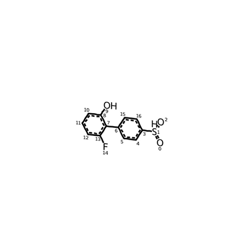 O=[SH](=O)c1ccc(-c2c(O)cccc2F)cc1